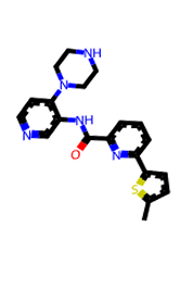 Cc1ccc(-c2cccc(C(=O)Nc3cnccc3N3CCNCC3)n2)s1